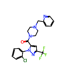 O=C(c1cc(C(F)(F)F)nn1-c1ccccc1Cl)N1CCN(Cc2ccccn2)CC1